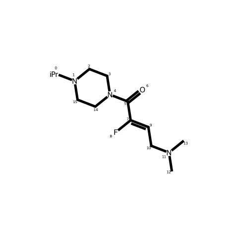 CC(C)N1CCN(C(=O)/C(F)=C/CN(C)C)CC1